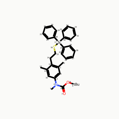 Cc1cc(N(C)C(=O)OC(C)(C)C)cc(C)c1CCS[Si](c1ccccc1)(c1ccccc1)c1ccccc1